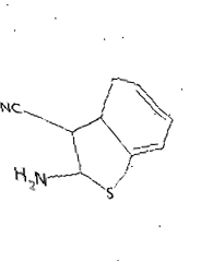 N#CC1C(N)SC2=CC=CCC21